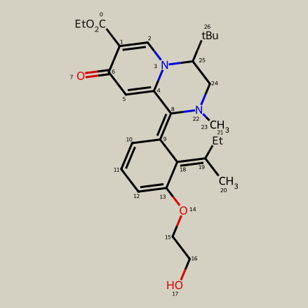 CCOC(=O)c1cn2c(cc1=O)/C(=c1\cccc(OCCO)\c1=C(/C)CC)N(C)CC2C(C)(C)C